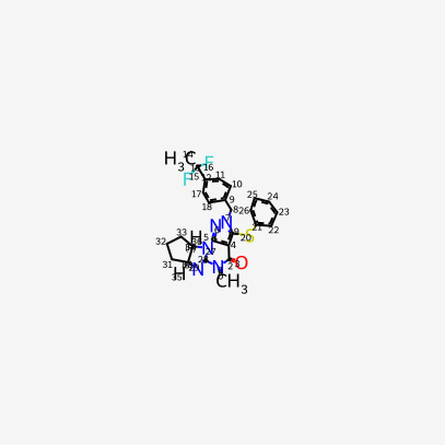 CN1C(=O)c2c(nn(Cc3ccc(C(C)(F)F)cc3)c2Sc2ccccc2)N2C1=N[C@H]1CCC[C@H]12